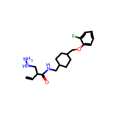 C=CC(CNN)C(=O)NCC1CCC(COc2ccccc2F)CC1